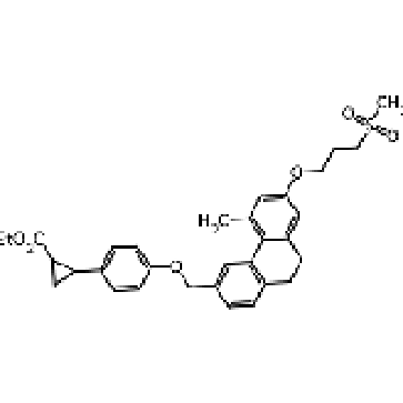 CCOC(=O)C1CC1c1ccc(OCc2ccc3c(c2)-c2c(C)cc(OCCCS(C)(=O)=O)cc2CC3)cc1